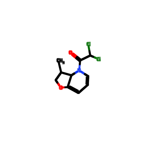 CC1COC2=CC=CN(C(=O)C(Cl)Cl)C21